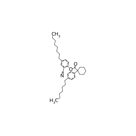 CCCCCCCCc1ccc(OC(=O)C2(c3ccc(CCCCCCC)cc3)CCCCC2)c(C#N)c1